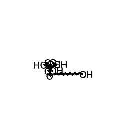 C1CO1.CCCCCCCCCCCCO.O=C(O)CC(O)(CC(=O)O)C(=O)O